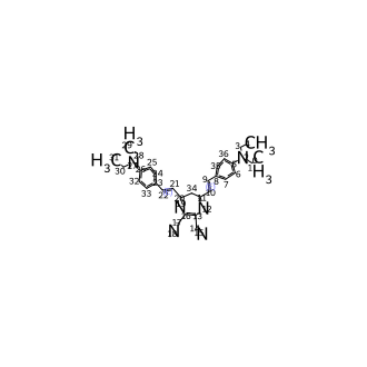 CCN(CC)c1ccc(/C=C/C2=NC(C#N)=C(C#N)N=C(/C=C/c3ccc(N(CC)CC)cc3)C2)cc1